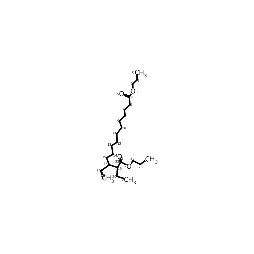 CCCOC(=O)CCCCCCCCCCC(CC)C(CC)C(=O)OCCC